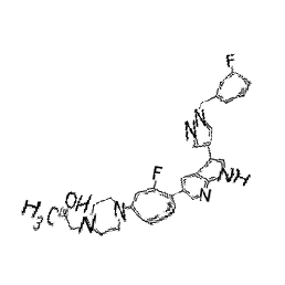 C[C@H](O)CN1CCN(c2ccc(-c3cnc4[nH]cc(-c5cnn(Cc6cccc(F)c6)c5)c4c3)c(F)c2)CC1